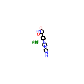 Cl.Cl.O=C1CCC(c2ccc(N3CCN(C4CCNCC4)CC3)cc2)C(=O)N1